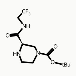 CC(C)(C)OC(=O)N1CCN[C@@H](C(=O)NCC(F)(F)F)C1